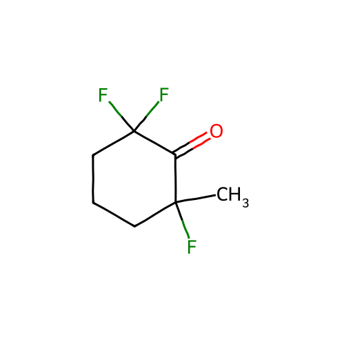 CC1(F)CCCC(F)(F)C1=O